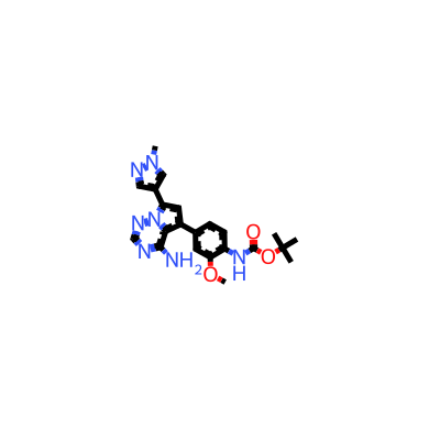 COc1cc(-c2cc(-c3cnn(C)c3)n3ncnc(N)c23)ccc1NC(=O)OC(C)(C)C